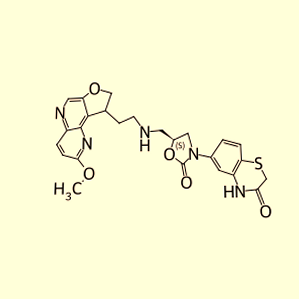 COc1ccc2ncc3c(c2n1)C(CCNC[C@H]1CN(c2ccc4c(c2)NC(=O)CS4)C(=O)O1)CO3